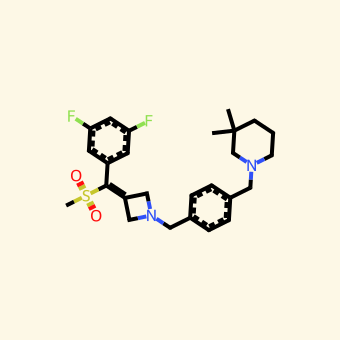 CC1(C)CCCN(Cc2ccc(CN3CC(=C(c4cc(F)cc(F)c4)S(C)(=O)=O)C3)cc2)C1